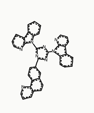 c1cnc2c(c1)ccc1cc(-c3nc(-n4c5ccccc5c5cccnc54)nc(-n4c5ccccc5c5cccnc54)n3)ccc12